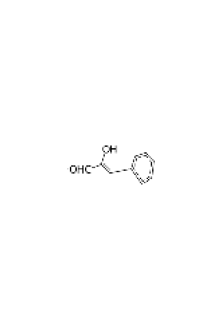 O=[C]C(O)=Cc1ccccc1